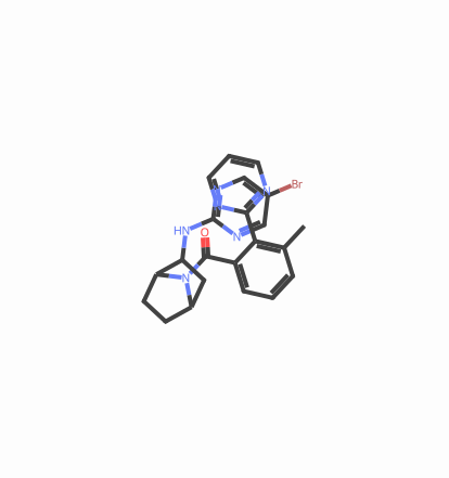 Cc1cccc(C(=O)N2C3CCC2C(Nc2ncc(Br)cn2)C3)c1-c1ncccn1